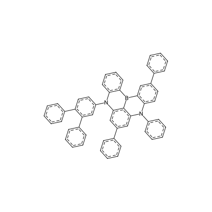 c1ccc(-c2ccc3c(c2)B2c4ccccc4N(c4ccc(-c5ccccc5)c(-c5ccccc5)c4)c4cc(-c5ccccc5)cc(c42)N3c2ccccc2)cc1